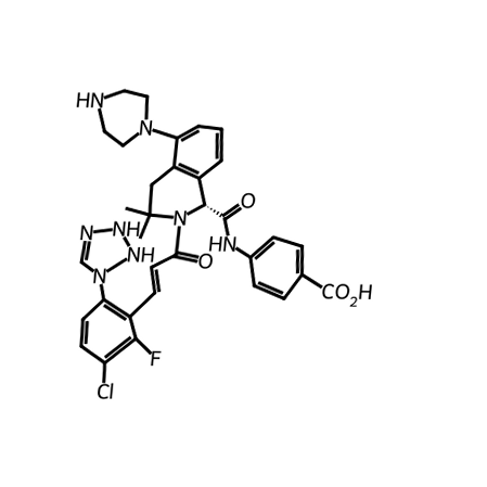 CC1(C)Cc2c(cccc2N2CCNCC2)[C@H](C(=O)Nc2ccc(C(=O)O)cc2)N1C(=O)/C=C/c1c(N2C=NNN2)ccc(Cl)c1F